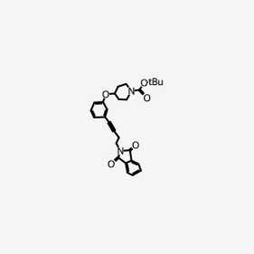 CC(C)(C)OC(=O)N1CCC(Oc2cccc(C#CCCN3C(=O)c4ccccc4C3=O)c2)CC1